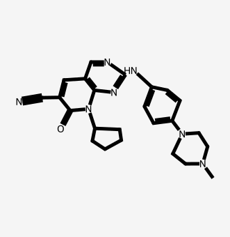 CN1CCN(c2ccc(Nc3ncc4cc(C#N)c(=O)n(C5CCCC5)c4n3)cc2)CC1